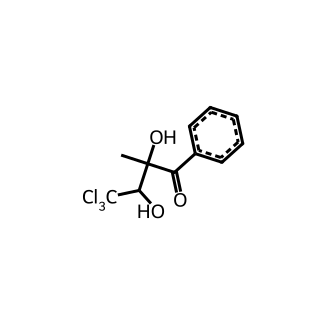 CC(O)(C(=O)c1ccccc1)C(O)C(Cl)(Cl)Cl